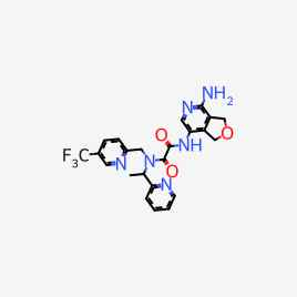 CC(c1ccccn1)N(Cc1ccc(C(F)(F)F)cn1)C(=O)C(=O)Nc1cnc(N)c2c1COC2